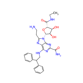 CCNC(=O)[C@H]1O[C@@H](n2c(CCN)nc3c(NCC(c4ccccc4)c4ccccc4)nc(C(N)=O)nc32)[C@H](O)[C@@H]1O